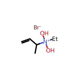 C=CC(C)[N+](O)(O)CC.[Br-]